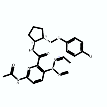 C=NN(/N=C\C)c1ccc(NC(C)=O)nc1C(=O)N[C@H]1CCC[C@@H]1COc1ccc(Cl)cc1